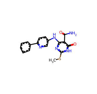 CSc1nc(Nc2ccc(-c3ccccc3)nc2)c(C(N)=O)c(=O)[nH]1